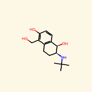 CC(C)(C)N[C@H]1CCc2c(ccc(O)c2CO)[C@H]1O